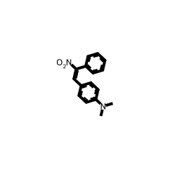 CN(C)c1ccc(C=C(c2ccccc2)[N+](=O)[O-])cc1